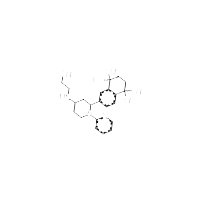 CC1(C)CCC(C)(C)c2cc(C3CC(NCCO)CCN3c3ccccn3)ccc21